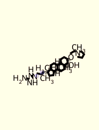 CC(/C=N/NC(=N)N)=C\[C@H]1CC[C@H]2[C@@H]3CC[C@@H]4[C@@H](O)[C@@H](OCC(C)N5CCCC5)CC[C@]4(C)[C@H]3CC[C@]12C